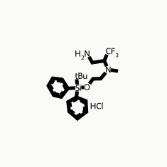 CN(CCO[Si](c1ccccc1)(c1ccccc1)C(C)(C)C)C(CN)C(F)(F)F.Cl